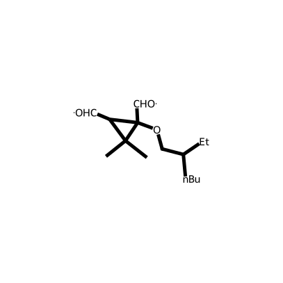 CCCCC(CC)COC1([C]=O)C([C]=O)C1(C)C